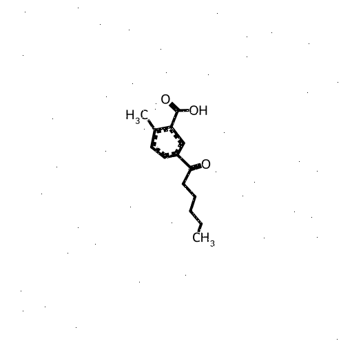 CCCCCC(=O)c1ccc(C)c(C(=O)O)c1